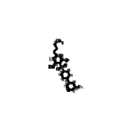 CCCCc1nc(=O)c(S(=O)(=O)c2ccc(-c3cncc(F)c3)cc2)c(O)[nH]1